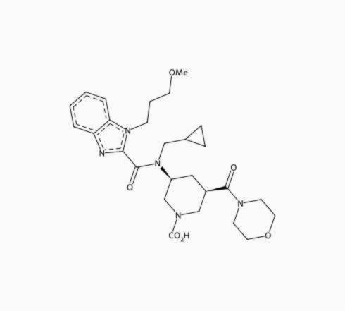 COCCCn1c(C(=O)N(CC2CC2)[C@H]2C[C@@H](C(=O)N3CCOCC3)CN(C(=O)O)C2)nc2ccccc21